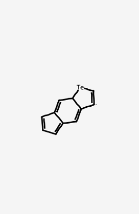 [C]1=C[Te]C2C=C3C=CC=C3C=C12